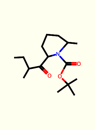 CCC(C)C(=O)C1CCCC(C)N1C(=O)OC(C)(C)C